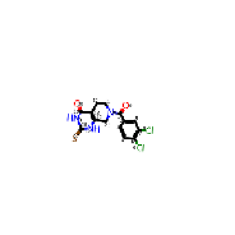 O=C(c1ccc(Cl)c(Cl)c1)N1CCc2c([nH]c(=S)[nH]c2=O)C1